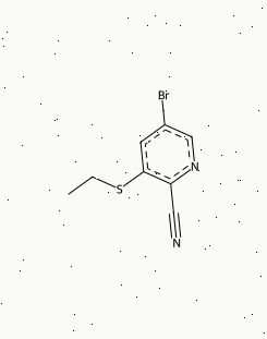 CCSc1cc(Br)cnc1C#N